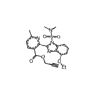 C#CCOC(=O)c1ccc(C)nc1-c1nc2c(OCC)cccc2n1S(=O)(=O)N(C)C